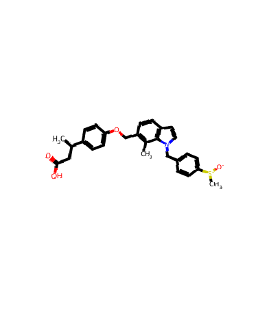 Cc1c(COc2ccc(C(C)CC(=O)O)cc2)ccc2ccn(Cc3ccc([S+](C)[O-])cc3)c12